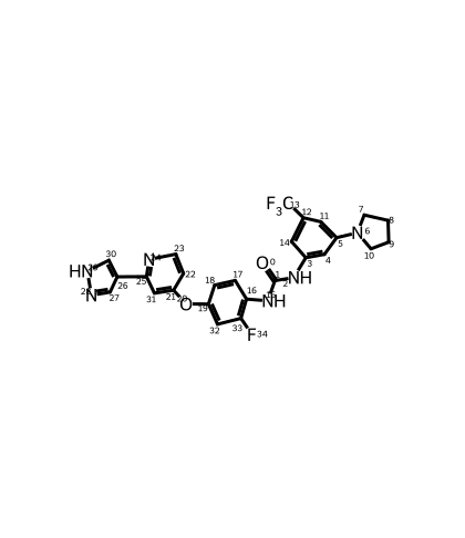 O=C(Nc1cc(N2CCCC2)cc(C(F)(F)F)c1)Nc1ccc(Oc2ccnc(-c3cn[nH]c3)c2)cc1F